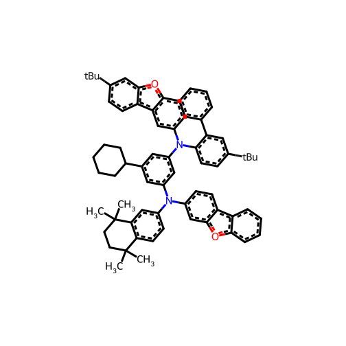 CC(C)(C)c1ccc(N(c2cc(C3CCCCC3)cc(N(c3ccc4c(c3)C(C)(C)CCC4(C)C)c3ccc4c(c3)oc3ccccc34)c2)c2ccc3oc4cc(C(C)(C)C)ccc4c3c2)c(-c2ccccc2)c1